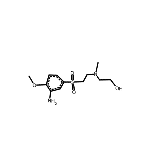 COc1ccc(S(=O)(=O)CCN(C)CCO)cc1N